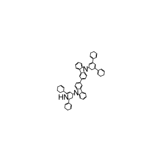 C1=CC(C2=CC(n3c4ccccc4c4cc(-c5ccc6c(c5)c5ccccc5n6C5C=C(C6C=CCCC6)NC(C6=CCCC=C6)C5)ccc43)CC(C3=CCCC=C3)=C2)=CCC1